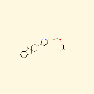 CCCCC(CC)COC(=O)CCSc1ccc(C2CCC3(CC2)Cc2ccccc2C3=O)cn1